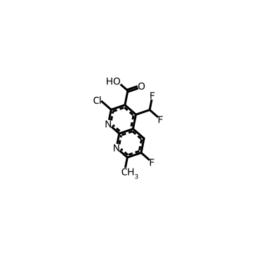 Cc1nc2nc(Cl)c(C(=O)O)c(C(F)F)c2cc1F